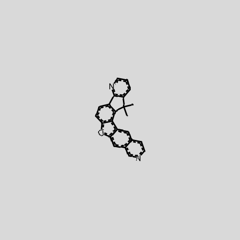 CC1(C)c2cccnc2-c2ccc3oc4cc5cnccc5cc4c3c21